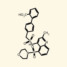 Cc1cc(NS(=O)(=O)Cc2ccc(-c3ccccc3C(=O)O)cc2)c2c(S(=O)(=O)N3CCOCC3)cccc2n1